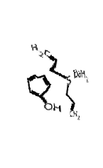 C=CCSCC=C.Oc1ccccc1.[BaH2]